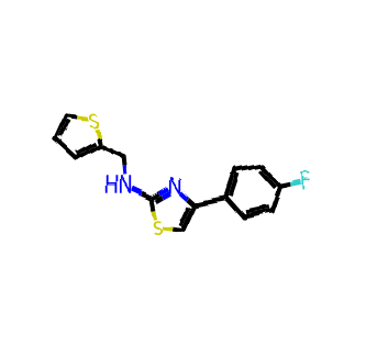 Fc1ccc(-c2csc(NCc3cccs3)n2)cc1